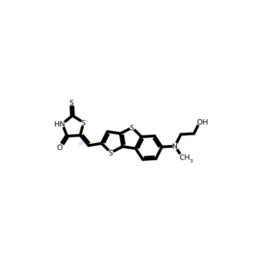 CN(CCO)c1ccc2c(c1)sc1cc(/C=C3\SC(=S)NC3=O)sc12